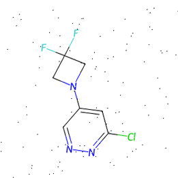 FC1(F)CN(c2cnnc(Cl)c2)C1